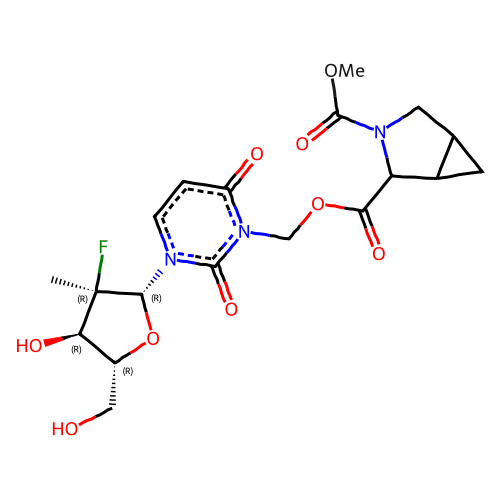 COC(=O)N1CC2CC2C1C(=O)OCn1c(=O)ccn([C@@H]2O[C@H](CO)[C@@H](O)[C@@]2(C)F)c1=O